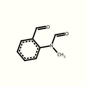 CN([C]=O)c1ccccc1[C]=O